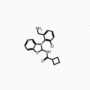 NCc1cccc(Cl)c1N1c2ccccc2SC1NC(=O)C1CCC1